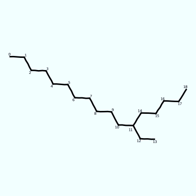 CCCCCCCCCCCC(CC)CCCCC